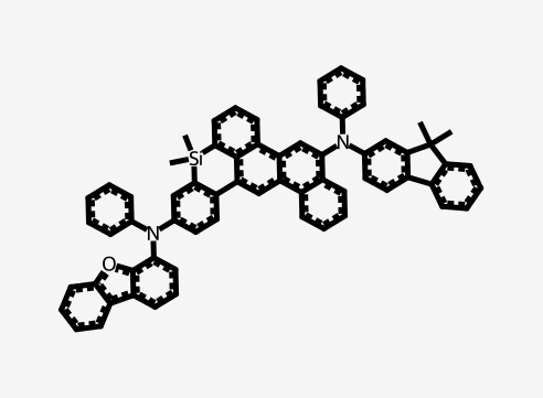 CC1(C)c2ccccc2-c2ccc(N(c3ccccc3)c3cc4c5cccc6c5c(cc4c4ccccc34)-c3ccc(N(c4ccccc4)c4cccc5c4oc4ccccc45)cc3[Si]6(C)C)cc21